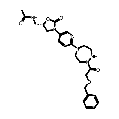 CC(=O)NC[C@H]1CN(c2ccc(N3CCNN(C(=O)COCc4ccccc4)CC3)nc2)C(=O)O1